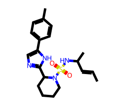 CC=CC(C)NS(=O)(=O)N1CCCCC1c1ncc(-c2ccc(C)cc2)[nH]1